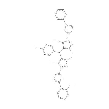 Cc1nn(-c2nc(-c3ccccc3)cs2)c(O)c1C(c1ccc(Br)cc1)c1c(C)nn(-c2nc(-c3ccccc3O)cs2)c1O